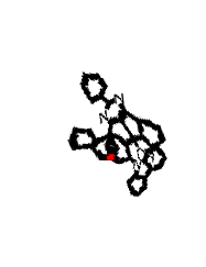 OC1(c2ccccc2-n2c3ccccc3c3ccccc32)c2ccccc2-c2nc(-c3ccccc3)nc(-c3cccc4ccccc34)c21